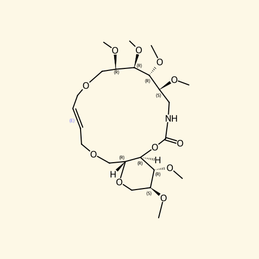 CO[C@H]1[C@H](OC)[C@H](OC)COC/C=C/COC[C@H]2OC[C@H](OC)[C@@H](OC)[C@@H]2OC(=O)NC[C@@H]1OC